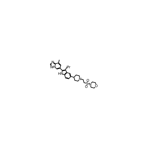 Cc1cc(-c2[nH]c3ccc(C4CCN(CCS(=O)(=O)N5CCOCC5)CC4)cc3c2C(C)C)cn2ncnc12